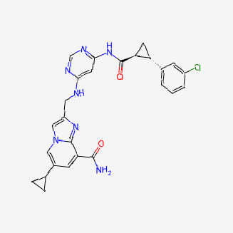 NC(=O)c1cc(C2CC2)cn2cc(CNc3cc(NC(=O)[C@H]4C[C@@H]4c4cccc(Cl)c4)ncn3)nc12